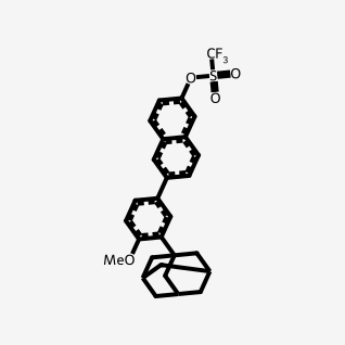 COc1ccc(-c2ccc3cc(OS(=O)(=O)C(F)(F)F)ccc3c2)cc1C12CC3CC(CC(C3)C1)C2